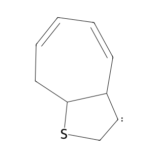 [C]1CSC2CC=CC=CC12